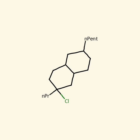 CCCCCC1CCC2CC(Cl)(CCC)CCC2C1